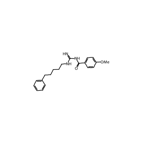 COc1ccc(C(=O)NC(=N)NCCCCCc2ccccc2)cc1